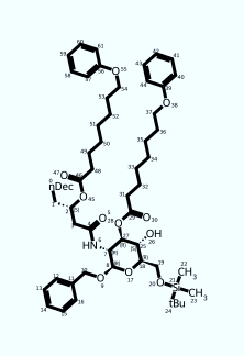 CCCCCCCCCCC[C@@H](CC(=O)N[C@H]1[C@H](OCc2ccccc2)O[C@H](CO[Si](C)(C)C(C)(C)C)[C@@H](O)[C@@H]1OC(=O)CCCCCCCOc1ccccc1)OC(=O)CCCCCCCOc1ccccc1